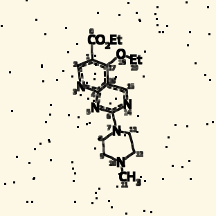 CCOC(=O)c1cnc2nc(N3CCN(C)CC3)ncc2c1OCC